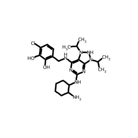 CC(C)N1NN(C(C)C)c2c(NCc3ccc(Cl)c(O)c3O)nc(NC3CCCCC3N)nc21